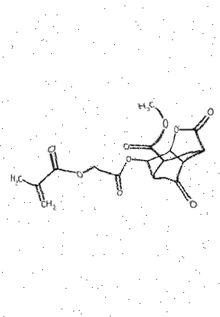 C=C(C)C(=O)OCC(=O)OC1C2OC(=O)C3C2C(=O)C1C3C(=O)OC